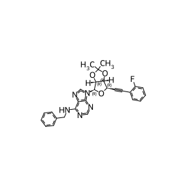 CC1(C)O[C@@H]2[C@H](O1)[C@@H](C#Cc1ccccc1F)O[C@H]2n1cnc2c(NCc3ccccc3)ncnc21